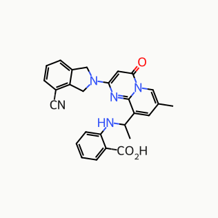 Cc1cc(C(C)Nc2ccccc2C(=O)O)c2nc(N3Cc4cccc(C#N)c4C3)cc(=O)n2c1